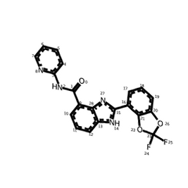 O=C(Nc1ccccn1)c1cccc2[nH]c(-c3cccc4c3OC(F)(F)O4)nc12